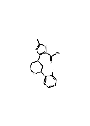 Cc1nc(N2CCOC(c3ccccc3F)C2)c(C(=O)O)o1